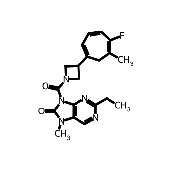 CCc1ncc2c(n1)n(C(=O)N1CC(C3=CC=CC(F)=C(C)C3)C1)c(=O)n2C